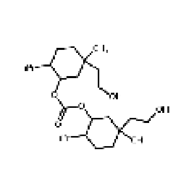 CC(C)C1CCC(C)(CCO)CC1OC(=O)OC1CC(C)(CCO)CCC1C(C)C